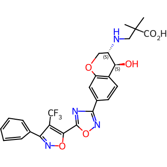 CC(C)(CN[C@H]1COc2cc(-c3noc(-c4onc(-c5ccccc5)c4C(F)(F)F)n3)ccc2[C@@H]1O)C(=O)O